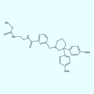 COc1ccc(C2(c3ccc(OC)cc3)CCCN(Cc3cccc(C(=O)NCCNC(=O)OC(C)(C)C)c3)C2)cc1